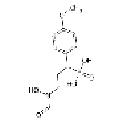 COc1ccc(C(CCN(O)C=O)P(=O)(O)O)cc1